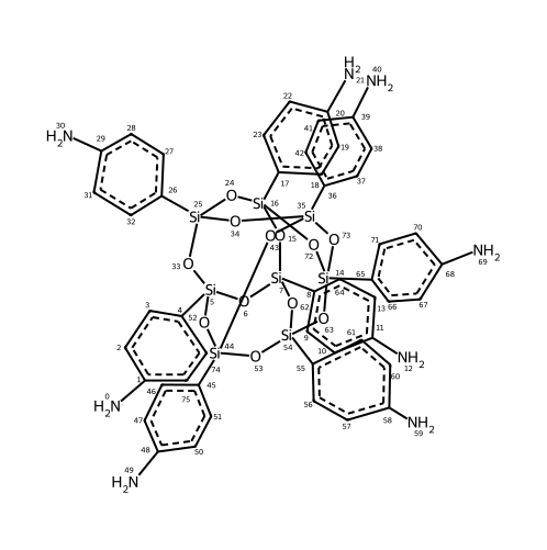 Nc1ccc([Si]23O[Si]4(c5ccc(N)cc5)O[Si]5(c6ccc(N)cc6)O[Si](c6ccc(N)cc6)(O2)O[Si]2(c6ccc(N)cc6)O[Si](c6ccc(N)cc6)(O3)O[Si](c3ccc(N)cc3)(O4)O[Si](c3ccc(N)cc3)(O5)O2)cc1